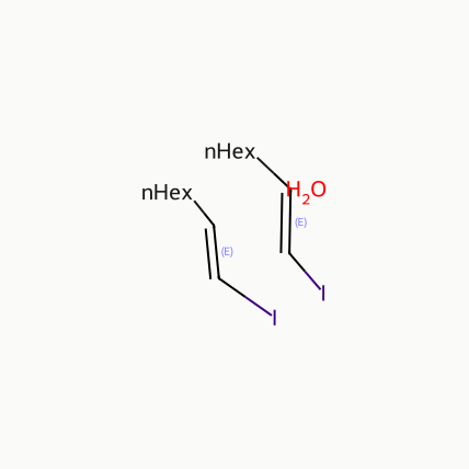 CCCCCC/C=C/I.CCCCCC/C=C/I.O